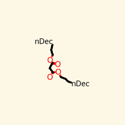 CCCCCCCCCCCCCOC(=O)CC(=O)OCCCCCCCCCCCCC